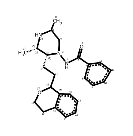 CC1CN(NC(=O)c2ccccc2)[C@H](CCC2OCCc3ccccc32)[C@H](C)N1